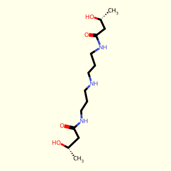 C[C@H](O)CC(=O)NCCCNCCCNC(=O)C[C@@H](C)O